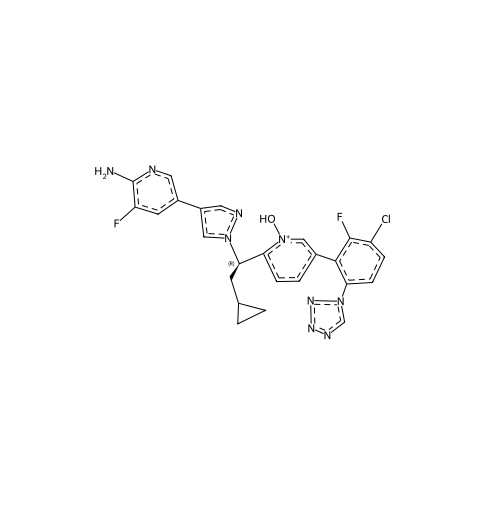 Nc1ncc(-c2cnn([C@H](CC3CC3)c3ccc(-c4c(-n5cnnn5)ccc(Cl)c4F)c[n+]3O)c2)cc1F